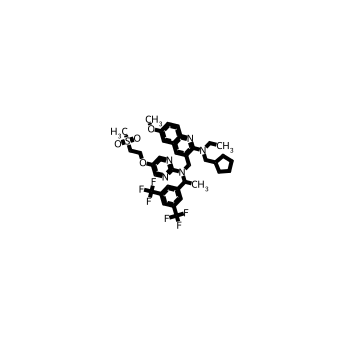 CCN(CC1CCCC1)c1nc2ccc(OC)cc2cc1CN(c1ncc(OCCS(C)(=O)=O)cn1)C(C)c1cc(C(F)(F)F)cc(C(F)(F)F)c1